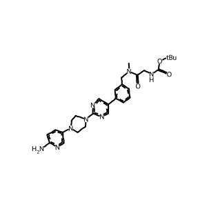 CN(Cc1cccc(-c2cnc(N3CCN(c4ccc(N)nc4)CC3)nc2)c1)C(=O)CNC(=O)OC(C)(C)C